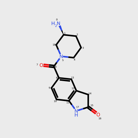 N[C@H]1CCCN(C(=O)c2ccc3c(c2)CC(=O)N3)C1